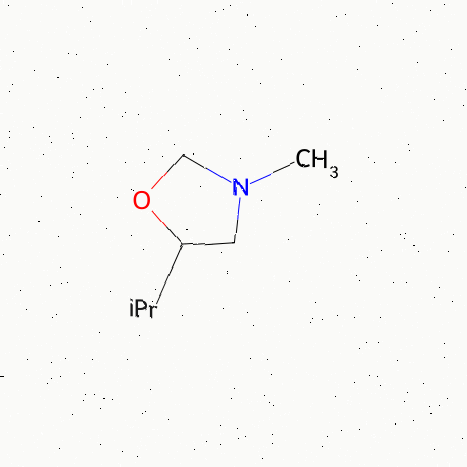 CC(C)C1CN(C)CO1